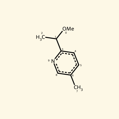 COC(C)c1ccc(C)cn1